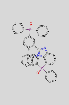 O=P(c1ccccc1)(c1ccccc1)c1ccc2c3ccccc3n3c(nc4cccc(P(=O)(c5ccccc5)c5ccccc5)c43)c2c1